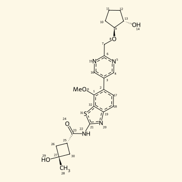 COc1c(-c2cnc(CO[C@H]3CCC[C@@H]3O)nc2)ccc2nc(NC(=O)[C@H]3C[C@@](C)(O)C3)sc12